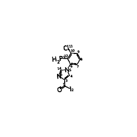 O=C(I)c1cn(-c2cccc(Cl)c2P)cn1